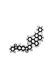 c1ccc(-c2ccc(-c3c4ccccc4c(-c4ccc5oc6cc7cc8c(cc7cc6c5c4)oc4ccccc48)c4ccccc34)c3ccccc23)cc1